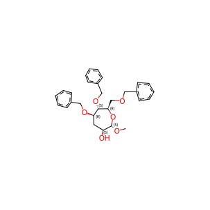 CO[C@H]1O[C@H](COCc2ccccc2)[C@@H](OCc2ccccc2)[C@H](OCc2ccccc2)C[C@@H]1O